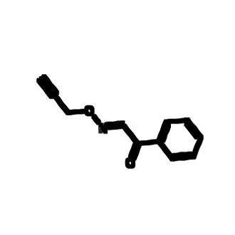 C#CCON=CC(=O)c1ccccc1